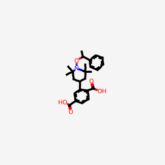 CC(ON1C(C)(C)CC(c2cc(C(=O)O)ccc2C(=O)O)CC1(C)C)c1ccccc1